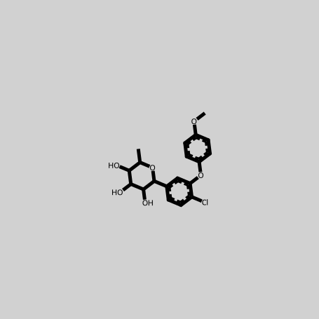 COc1ccc(Oc2cc(C3OC(C)C(O)C(O)C3O)ccc2Cl)cc1